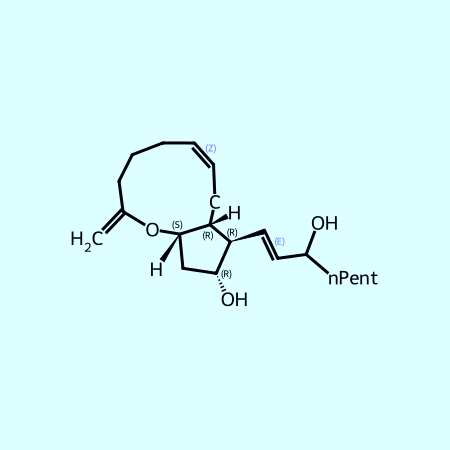 C=C1CCC/C=C\C[C@@H]2[C@@H](/C=C/C(O)CCCCC)[C@H](O)C[C@@H]2O1